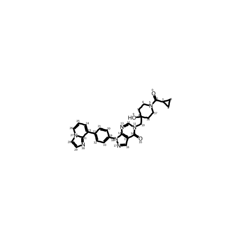 O=C(C1CC1)N1CCC(O)(Cn2cnc3c(cnn3-c3ccc(-c4cccn5ccnc45)cc3)c2=O)CC1